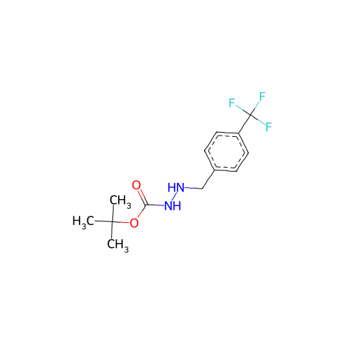 CC(C)(C)OC(=O)NNCc1ccc(C(F)(F)F)cc1